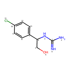 N=C(N)NC(CO)c1ccc(Cl)cc1